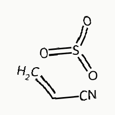 C=CC#N.O=S(=O)=O